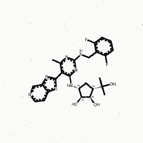 Cc1nc(NCc2c(F)cccc2F)nc(N[C@@H]2C[C@H](C(C)(C)O)[C@@H](O)[C@H]2O)c1-c1nc2cnccc2s1